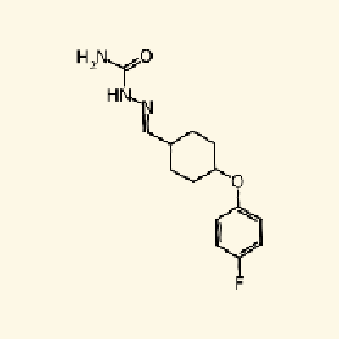 NC(=O)NN=CC1CCC(Oc2ccc(F)cc2)CC1